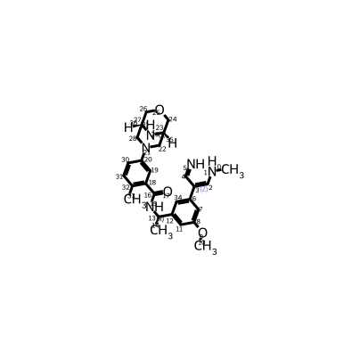 CN/C=C(\C=N)c1cc(OC)cc([C@@H](C)NC(=O)c2cc(N3C[C@H]4COC[C@@H](C3)N4)ccc2C)c1